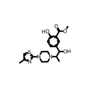 COC(=O)c1cc(C(O)C(C)N2CCN(c3nc(C)cs3)CC2)ccc1O